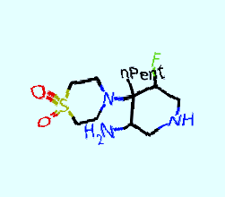 CCCCCC1(N2CCS(=O)(=O)CC2)C(N)CNCC1F